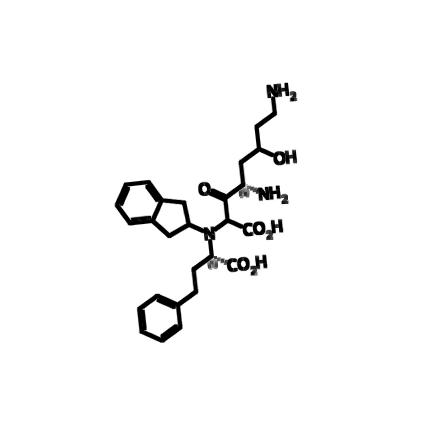 NCCC(O)C[C@H](N)C(=O)C(C(=O)O)N(C1Cc2ccccc2C1)[C@@H](CCc1ccccc1)C(=O)O